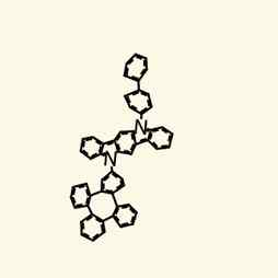 c1ccc(-c2ccc(-n3c4ccccc4c4cc5c(cc43)c3ccccc3n5-c3ccc4c(c3)-c3ccccc3-c3ccccc3-c3ccccc3-4)cc2)cc1